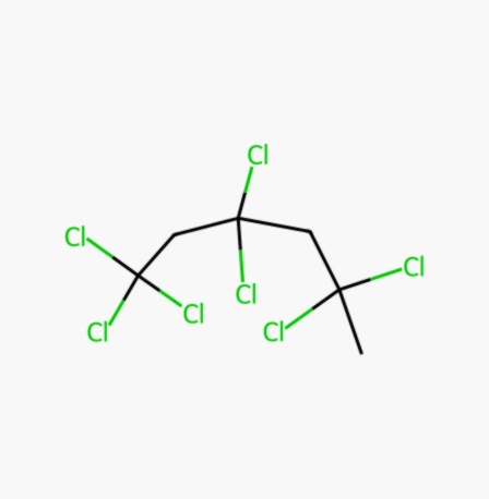 CC(Cl)(Cl)CC(Cl)(Cl)CC(Cl)(Cl)Cl